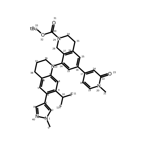 Cn1cc(-c2cc3c(cc2C(F)F)N(c2cc(-c4ccn(C)c(=O)c4)cc4c2CN(C(=O)OC(C)(C)C)CC4)CCC3)cn1